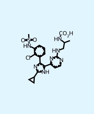 CC(CNc1nccc(-c2[nH]c(C3CC3)nc2-c2cccc(NS(C)(=O)=O)c2Cl)n1)NC(=O)O